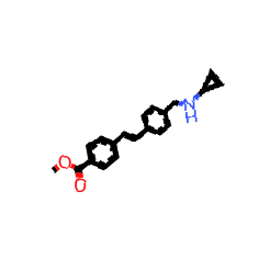 COC(=O)c1ccc(/C=C/c2ccc(CNC3CC3)cc2)cc1